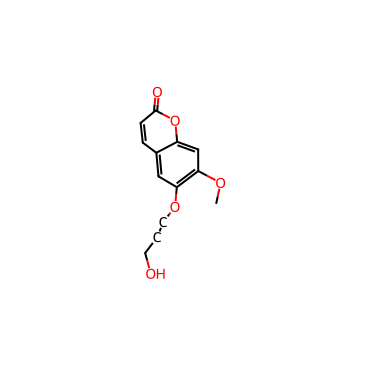 COc1cc2oc(=O)ccc2cc1OCCCO